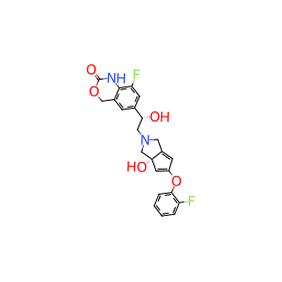 O=C1Nc2c(F)cc([C@H](O)CN3CC4=CC(Oc5ccccc5F)=C[C@@]4(O)C3)cc2CO1